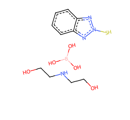 OB(O)O.OCCNCCO.Sn1nc2ccccc2n1